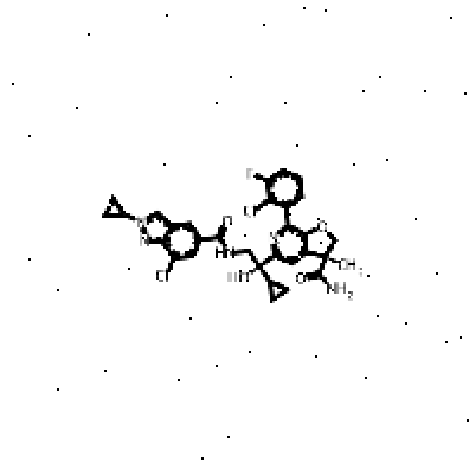 C[C@]1(C(N)=O)COc2c1cc([C@@](O)(CNC(=O)c1cc(Cl)c3nn(C4CC4)cc3c1)C1CC1)nc2-c1cccc(F)c1Cl